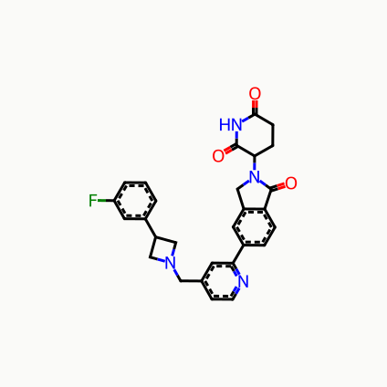 O=C1CCC(N2Cc3cc(-c4cc(CN5CC(c6cccc(F)c6)C5)ccn4)ccc3C2=O)C(=O)N1